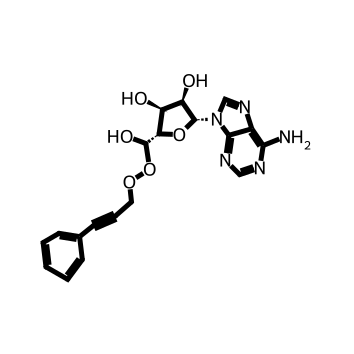 Nc1ncnc2c1ncn2[C@@H]1O[C@H](C(O)OOCC#Cc2ccccc2)[C@@H](O)[C@H]1O